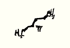 C=CC=CCC.[Ti]